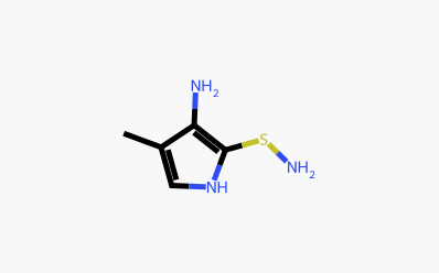 Cc1c[nH]c(SN)c1N